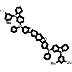 CC(C)(C)c1cc(-n2c3ccccc3c3ccc(N(c4ccccc4)c4ccc5c(c4)oc4cc6cc7oc8cc(N(c9ccccc9)c9ccc%10c%11ccccc%11n(-c%11cc(C(C)(C)C)cc(C(C)(C)C)c%11)c%10c9)ccc8c7cc6cc45)cc32)cc(C(C)(C)C)c1